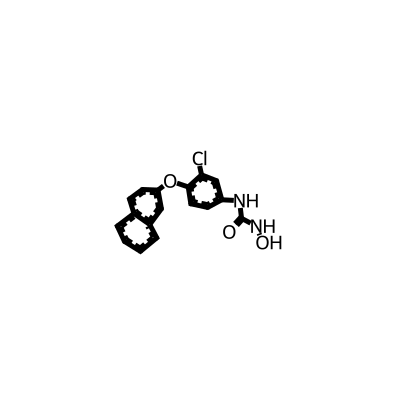 O=C(NO)Nc1ccc(Oc2ccc3ccccc3c2)c(Cl)c1